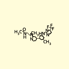 CC(=O)NCCN(C)c1cc(-c2cc(C)cc(Nc3nccc(C(F)(F)F)n3)c2)ccn1